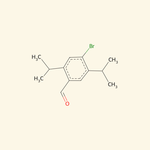 CC(C)c1cc(C=O)c(C(C)C)cc1Br